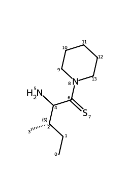 CC[C@H](C)C(N)C(=S)N1CCCCC1